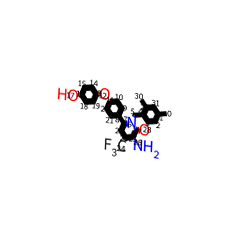 Cc1ccc(Cn2c(-c3ccc(Oc4ccc(O)cc4)cc3)cc(C(F)(F)F)c(N)c2=O)c(C)c1